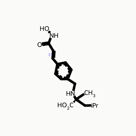 CC(C)C[C@@](C)(NCc1ccc(/C=C/C(=O)NO)cc1)C(=O)O